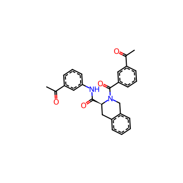 CC(=O)c1cccc(NC(=O)[C@@H]2Cc3ccccc3CN2C(=O)c2cccc(C(C)=O)c2)c1